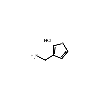 Cl.NCc1ccsc1